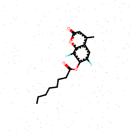 CCCCCCCC(=O)Oc1c(F)cc2c(C)cc(=O)oc2c1F